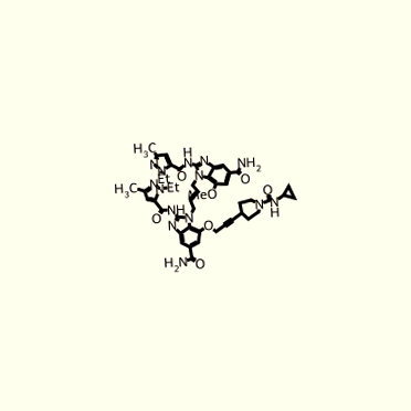 CCn1nc(C)cc1C(=O)Nc1nc2cc(C(N)=O)cc(OC)c2n1CC=CCn1c(NC(=O)c2cc(C)nn2CC)nc2cc(C(N)=O)cc(OCC#CC3CCN(C(=O)NC4CC4)CC3)c21